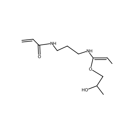 C=CC(=O)NCCCNC(=CC)OCC(C)O